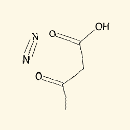 CC(=O)CC(=O)O.N#N